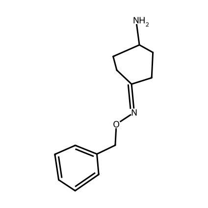 NC1CCC(=NOCc2ccccc2)CC1